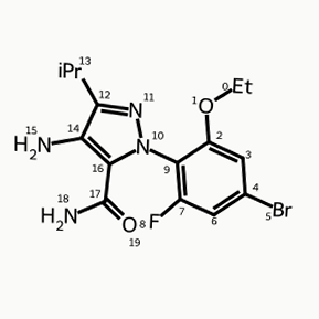 CCOc1cc(Br)cc(F)c1-n1nc(C(C)C)c(N)c1C(N)=O